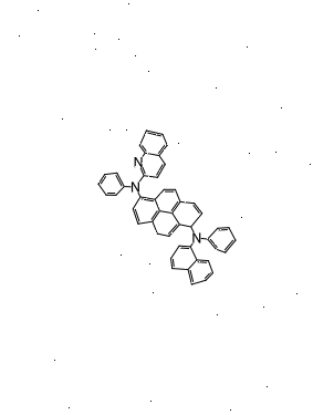 C1=CC(N(c2ccccc2)c2cccc3ccccc23)C2=CCc3ccc(N(c4ccccc4)c4ccc5ccccc5n4)c4ccc1c2c34